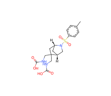 Cc1ccc(S(=O)(=O)N2C[C@H]3C[C@@H]2CC3(CNC(=O)O)CNC(=O)O)cc1